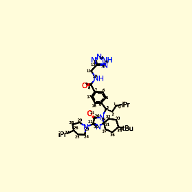 CC(C)CC[C@H](c1ccc(C(=O)NCc2nn[nH]n2)cc1)N1C(=O)C(N2CCC(C(C)C)CC2)=NC12CCC(C(C)(C)C)CC2